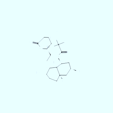 CCC(C)(C)C(=O)O[C@H]1C[C@@H](C)C[C@@H]2CC[C@H](C)[C@H](CC[C@@H]3C[C@@H](O)CC(=O)O3)[C@H]21